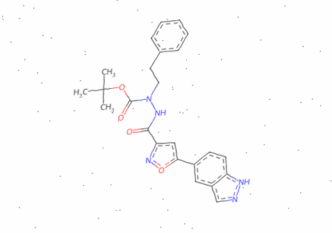 CC(C)(C)OC(=O)N(CCc1ccccc1)NC(=O)c1cc(-c2ccc3[nH]ncc3c2)on1